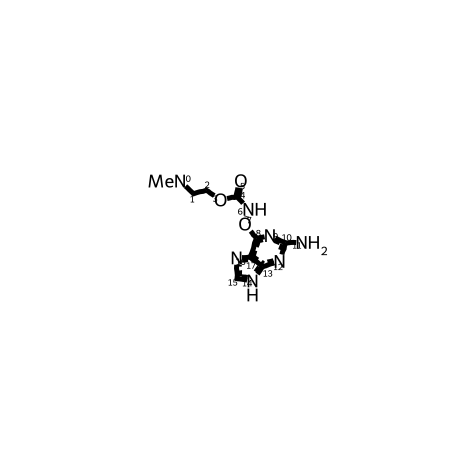 CNCCOC(=O)NOc1nc(N)nc2[nH]cnc12